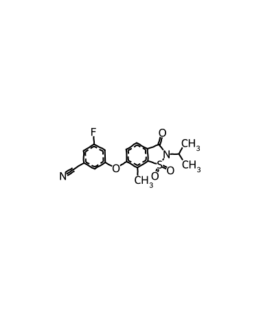 Cc1c(Oc2cc(F)cc(C#N)c2)ccc2c1S(=O)(=O)N(C(C)C)C2=O